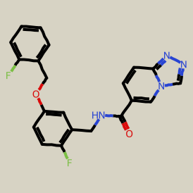 O=C(NCc1cc(OCc2ccccc2F)ccc1F)c1ccc2nncn2c1